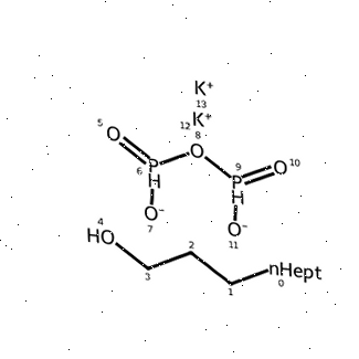 CCCCCCCCCCO.O=[PH]([O-])O[PH](=O)[O-].[K+].[K+]